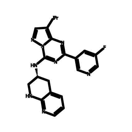 CC(C)c1cnn2c(N[C@H]3CNc4ncccc4C3)nc(-c3cncc(F)c3)nc12